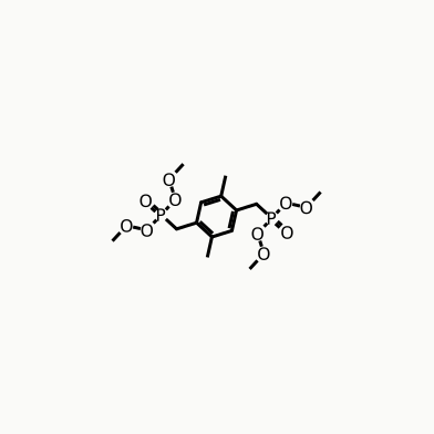 COOP(=O)(Cc1cc(C)c(CP(=O)(OOC)OOC)cc1C)OOC